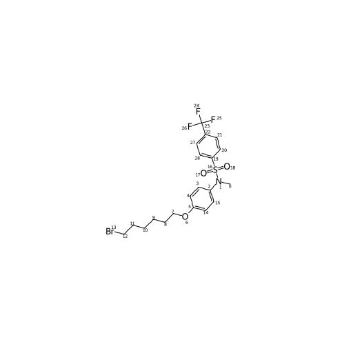 CN(c1ccc(OCCCCCCBr)cc1)S(=O)(=O)c1ccc(C(F)(F)F)cc1